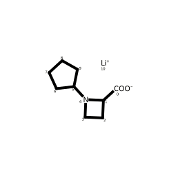 O=C([O-])C1CCN1C1CCCC1.[Li+]